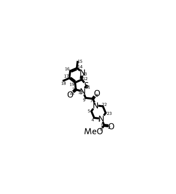 COC(=O)N1CCN(C(=O)Cn2sc3nc(C)cc(C)c3c2=O)CC1